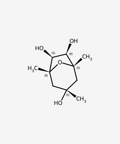 C[C@@]1(O)C[C@@]2(C)O[C@@](C)(C1)[C@H](O)[C@@H]2O